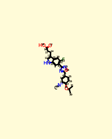 [C-]#[N+]c1cc(-c2nc(-c3cc4[nH]cc(CCC(=O)O)c4cc3F)no2)ccc1OC(C)C